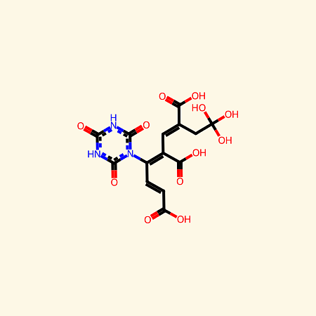 O=C(O)C=CC(=C(C=C(CC(O)(O)O)C(=O)O)C(=O)O)n1c(=O)[nH]c(=O)[nH]c1=O